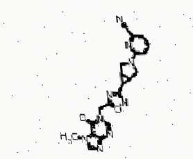 Cn1cnc2ncn(Cc3nc(C4C5CN(c6cccc(C#N)n6)CC54)no3)c(=O)c21